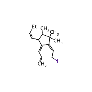 C=C/C=C1\C(=C/CI)C(C)(C)C(C)C1/C=C\CC